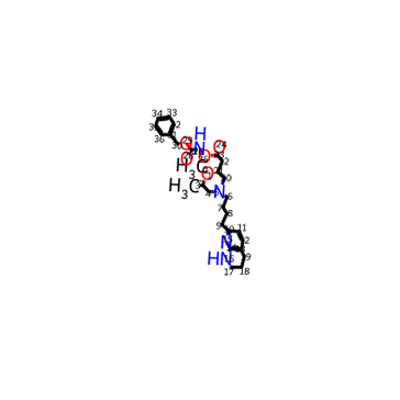 CO[C@H](C)CN(CCCCc1ccc2c(n1)NCCC2)CCCC(=O)ONC(=O)OCc1ccccc1